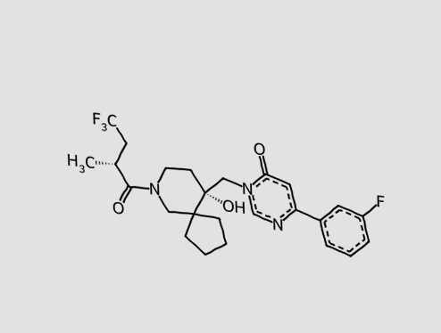 C[C@H](CC(F)(F)F)C(=O)N1CC[C@@](O)(Cn2cnc(-c3cccc(F)c3)cc2=O)C2(CCCC2)C1